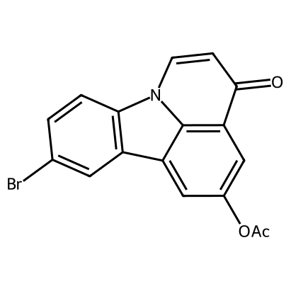 CC(=O)Oc1cc2c(=O)ccn3c4ccc(Br)cc4c(c1)c23